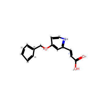 O=C(O)/C=C/c1cc(OCc2ccccc2)ccn1